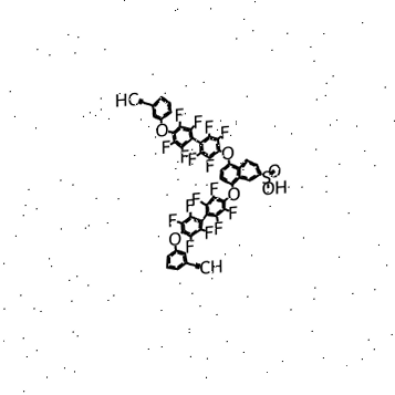 C#Cc1cccc(Oc2c(F)c(F)c(-c3c(F)c(F)c(Oc4ccc(Oc5c(F)c(F)c(-c6c(F)c(F)c(Oc7cccc(C#C)c7)c(F)c6F)c(F)c5F)c5cc(S(=O)O)ccc45)c(F)c3F)c(F)c2F)c1